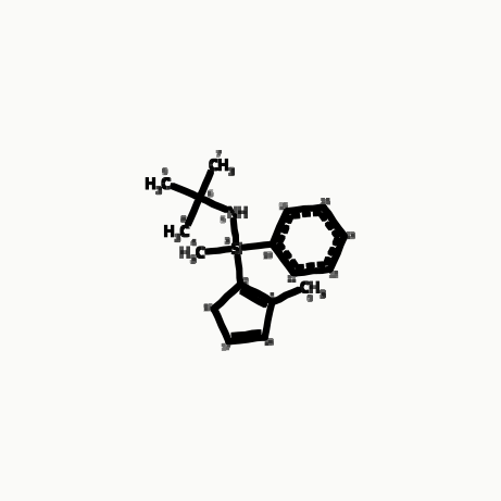 CC1=C([Si](C)(NC(C)(C)C)c2ccccc2)CC=C1